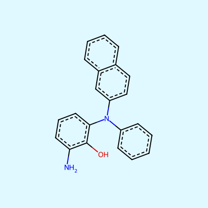 Nc1cccc(N(c2ccccc2)c2ccc3ccccc3c2)c1O